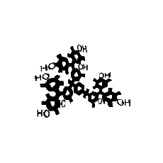 Cc1cc(C(C)(C)c2ccc(C(C)(c3cc(C)c(O)c(C(c4cc(C)c(O)c(C)c4C)c4cc(C)c(O)c(C)c4C)c3)c3cc(C)c(O)c(C(c4cc(C)c(O)c(C)c4C)c4cc(C)c(O)c(C)c4C)c3)cc2)cc(C(c2cc(C)c(O)c(C)c2C)c2cc(C)c(O)c(C)c2C)c1O